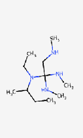 CCC(C)N(CC)C(CN[SiH3])(NC)NC